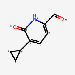 O=Cc1ccc(C2CC2)c(=O)[nH]1